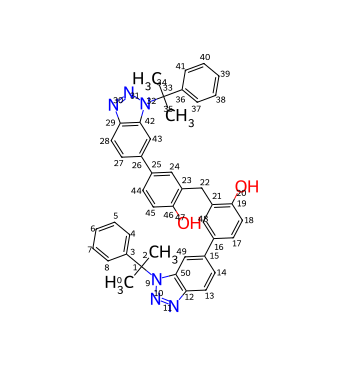 CC(C)(c1ccccc1)n1nnc2ccc(-c3ccc(O)c(Cc4cc(-c5ccc6nnn(C(C)(C)c7ccccc7)c6c5)ccc4O)c3)cc21